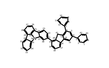 c1ccc(-c2cc(-c3ccccc3)c3c(c2)-c2cccc(-c4ccc5c6cccc7c8ccccc8n(c5c4)c76)c2C3)cc1